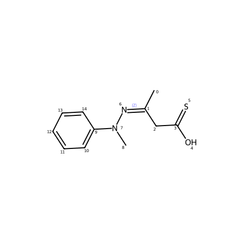 C/C(CC(O)=S)=N/N(C)c1ccccc1